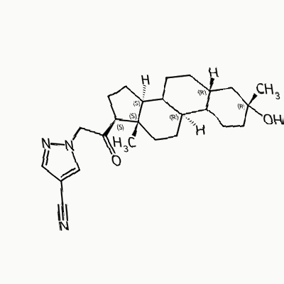 C[C@@]1(O)CCC2[C@H](CCC3[C@@H]2CC[C@]2(C)[C@@H](C(=O)Cn4cc(C#N)cn4)CC[C@@H]32)C1